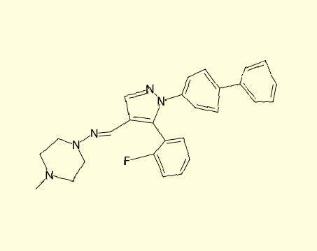 CN1CCN(N=Cc2cnn(-c3ccc(-c4ccccc4)cc3)c2-c2ccccc2F)CC1